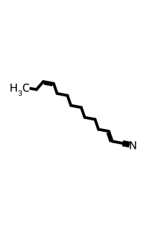 CC/C=C\CCCCCCC/C=C/C#N